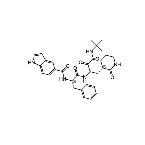 CC(C)(C)NC(=O)C(=O)C(C[C@@H]1CCCNC1=O)NC(=O)[C@H](Cc1ccccc1)NC(=O)c1ccc2[nH]ccc2c1